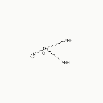 N=CCCCCCCCCC(CCCCCCCCC=N)OC(=O)CCCN1CCCC1